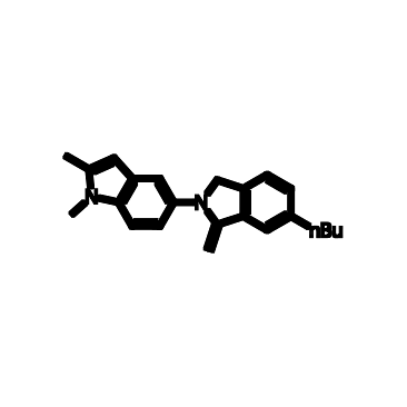 C=C1c2cc(CCCC)ccc2CN1c1ccc2c(c1)cc(C)n2C